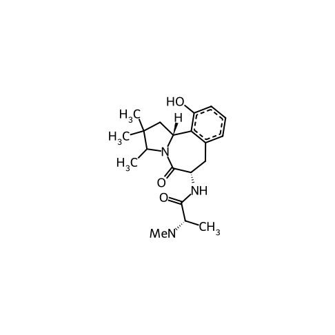 CN[C@@H](C)C(=O)N[C@H]1Cc2cccc(O)c2[C@H]2CC(C)(C)C(C)N2C1=O